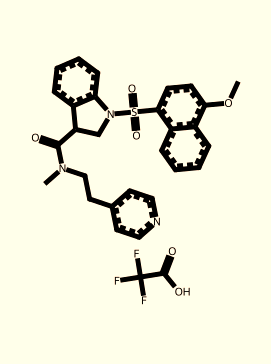 COc1ccc(S(=O)(=O)N2CC(C(=O)N(C)CCc3ccncc3)c3ccccc32)c2ccccc12.O=C(O)C(F)(F)F